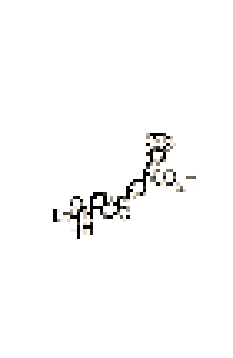 CCNC(=O)Nc1cccc2c1ccc(=O)n2CCN1CCC(N(Cc2ccc3c(c2)OCCO3)C(=O)O)CC1